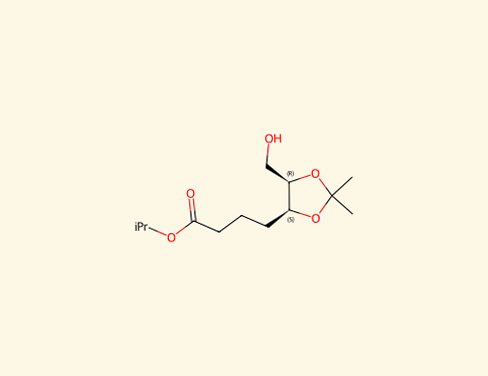 CC(C)OC(=O)CCC[C@@H]1OC(C)(C)O[C@@H]1CO